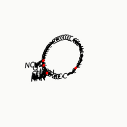 Cc1cnc(Nc2cnn(C)c2)nc1NC1CCCCCCCCCCCCCCCCCCCCCCCCCCCCCCCCCCCCCCCCCCCCCCCCC2(CC1)CCN(C(=O)CC#N)CC2